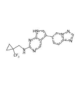 FC(F)(F)C1(CNc2ncc3c(-c4ccc5ncnn5c4)c[nH]c3n2)CC1